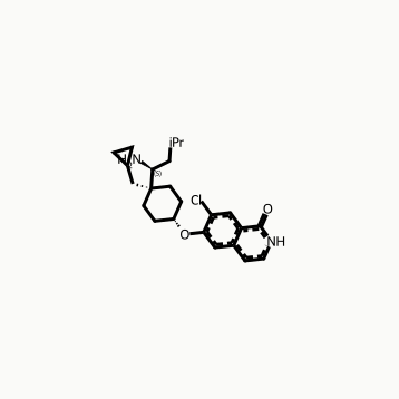 CC(C)C[C@H](N)[C@]1(CC2CC2)CC[C@@H](Oc2cc3cc[nH]c(=O)c3cc2Cl)CC1